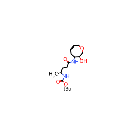 C[C@@H](CCC(=O)NC1CC=CCOC[C@H]1O)NC(=O)OC(C)(C)C